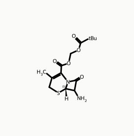 CC1=C(C(=O)OCOC(=O)C(C)(C)C)N2C(=O)C(N)[C@@H]2SC1